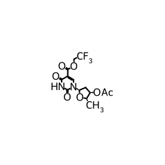 CC(=O)O[C@@H]1C[C@H](n2cc(C(=O)OCC(F)(F)F)c(=O)[nH]c2=O)O[C@@H]1C